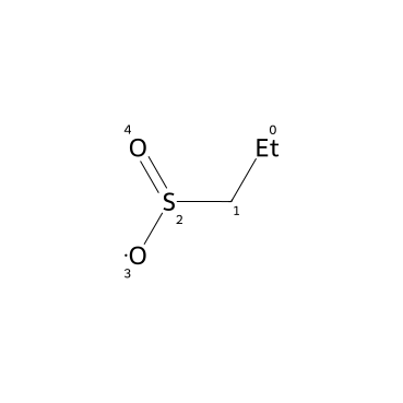 CCCS([O])=O